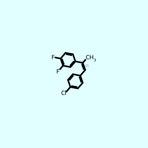 C/C(=C/c1ccc(Cl)cc1)c1ccc(F)c(F)c1